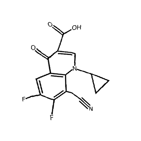 N#Cc1c(F)c(F)cc2c(=O)c(C(=O)O)cn(C3CC3)c12